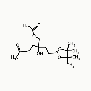 CC(=O)OCC(O)(CCB1OC(C)(C)C(C)(C)O1)COC(C)=O